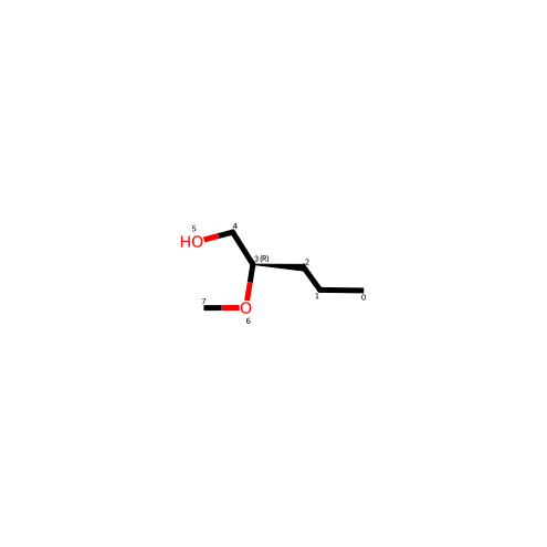 CCC[C@H](CO)OC